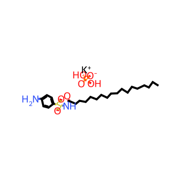 CCCCCCCCCCCCCCCCCC(=O)NS(=O)(=O)c1ccc(N)cc1.O=P([O-])(O)O.[K+]